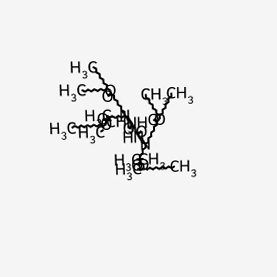 CCCCCCCCCC[C@@H](CC)OC(=O)C(C)(C)CCCCN(CCCCCCCC(=O)OC(CCCCCCCC)CCCCCCCC)CCNC(=O)CCC(=O)NCCN(CCCCCCCC(=O)OC(CCCCCCCC)CCCCCCCC)CCCCC(C)(C)C(=O)O[C@H](CC)CCCCCCCCCC